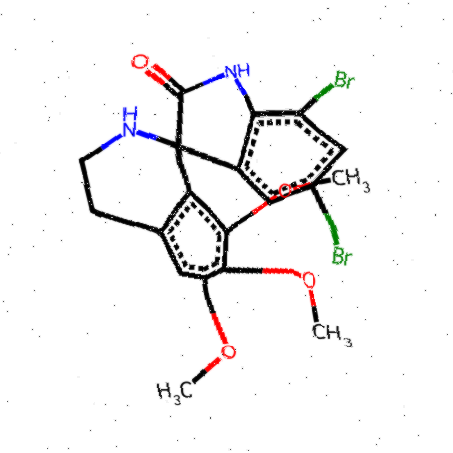 COc1cc2c(c(OC)c1OC)C1(NCC2)C(=O)Nc2c(Br)cc(Br)cc21